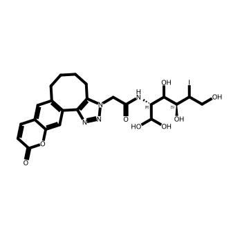 O=C(Cn1nnc2c1CCCCc1cc3ccc(=O)oc3cc1-2)N[C@@H](C(O)O)C(O)[C@H](O)C(I)CO